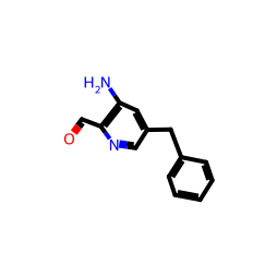 Nc1cc(Cc2ccccc2)cnc1C=O